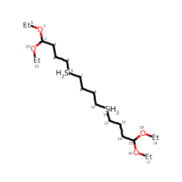 CCOC(CCC[SiH2]CCCC[SiH2]CCCC(OCC)OCC)OCC